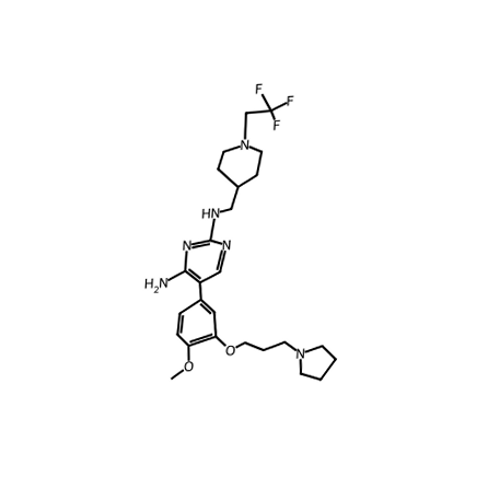 COc1ccc(-c2cnc(NCC3CCN(CC(F)(F)F)CC3)nc2N)cc1OCCCN1CCCC1